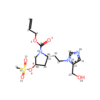 C=CCOC(=O)N1C[C@H](OS(C)(=O)=O)C[C@H]1CCn1cncc1CO